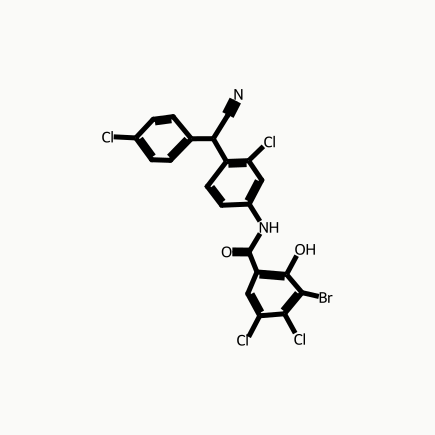 N#CC(c1ccc(Cl)cc1)c1ccc(NC(=O)c2cc(Cl)c(Cl)c(Br)c2O)cc1Cl